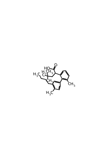 CCCCc1cc(-c2c(C)cccc2C(CC(C)(C)C)C(=O)O)ccc1C